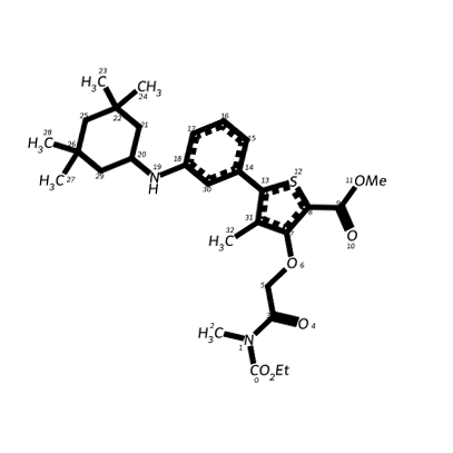 CCOC(=O)N(C)C(=O)COc1c(C(=O)OC)sc(-c2cccc(NC3CC(C)(C)CC(C)(C)C3)c2)c1C